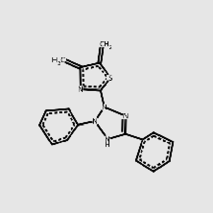 C=c1nc(N2N=C(c3ccccc3)NN2c2ccccc2)sc1=C